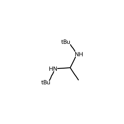 CC(NC(C)(C)C)NC(C)(C)C